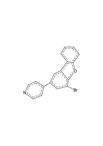 Brc1cc(-c2ccncc2)cc2c1oc1ccccc12